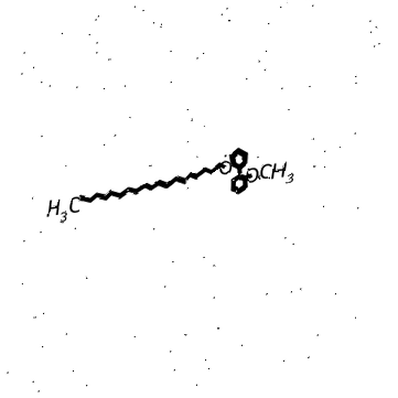 CCCCCCCCCCCCCCCCCCCCOc1[c]cccc1-c1ccccc1OCC